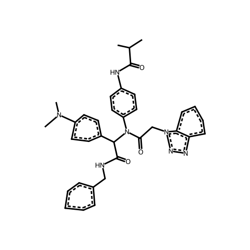 CC(C)C(=O)Nc1ccc(N(C(=O)Cn2nnc3ccccc32)C(C(=O)NCc2ccccc2)c2ccc(N(C)C)cc2)cc1